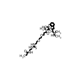 CCC(=O)NCCNC(=S)NCCOCCOCCC(=O)N(C)C(C)(C(=O)O)n1c(CN(C)NC)cc2ccccc21